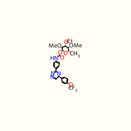 CCO[C@@H]1[C@@H](OC)[C@H](C)O[C@@H](OC(=O)Nc2ccc(-c3nncc(-c4ccc(OC(F)(F)F)cc4)n3)cc2)[C@@H]1OC